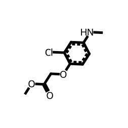 CNc1ccc(OCC(=O)OC)c(Cl)c1